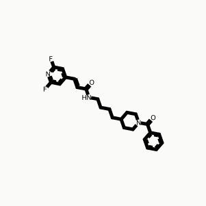 O=C(/C=C/c1cc(F)nc(F)c1)NCCCCC1CCN(C(=O)c2ccccc2)CC1